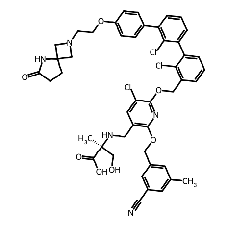 Cc1cc(C#N)cc(COc2nc(OCc3cccc(-c4cccc(-c5ccc(OCCN6CC7(CCC(=O)N7)C6)cc5)c4Cl)c3Cl)c(Cl)cc2CN[C@@](C)(CO)C(=O)O)c1